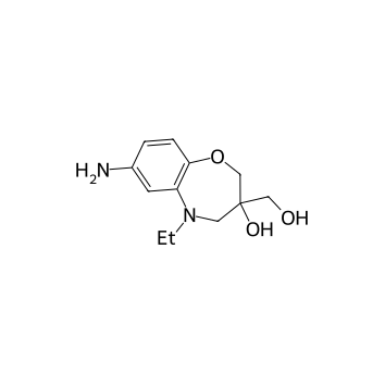 CCN1CC(O)(CO)COc2ccc(N)cc21